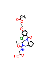 CC(=O)OCCOc1ccc(C(=O)N2C[C@@H](C)N(C(=O)NCC(=O)O)Cc3ccccc32)c(Cl)c1